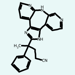 CC(CCC#N)(c1ccccc1)c1nc2c([nH]1)-c1ccncc1Nc1ncccc1-2